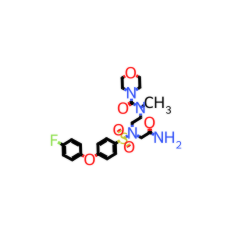 CN(CCN(CC(N)=O)S(=O)(=O)c1ccc(Oc2ccc(F)cc2)cc1)C(=O)N1CCOCC1